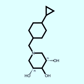 OC1[C@H](O)CN(CC2CCC(C3CC3)CC2)C[C@@H]1O